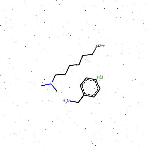 CCCCCCCCCCCCCCCCN(C)C.Cl.NCc1ccccc1